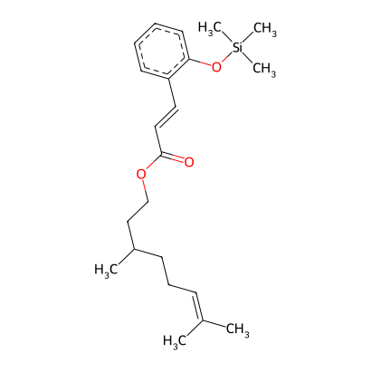 CC(C)=CCCC(C)CCOC(=O)/C=C/c1ccccc1O[Si](C)(C)C